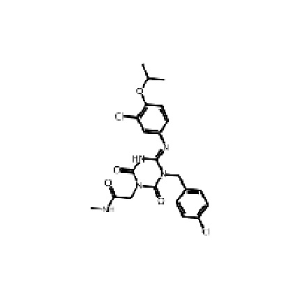 CNC(=O)Cn1c(=O)[nH]/c(=N\c2ccc(OC(C)C)c(Cl)c2)n(Cc2ccc(Cl)cc2)c1=O